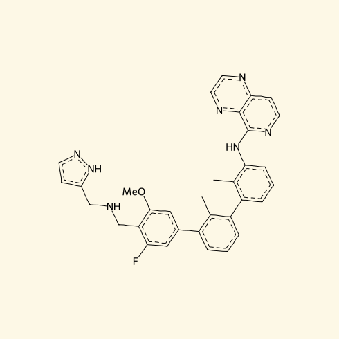 COc1cc(-c2cccc(-c3cccc(Nc4nccc5nccnc45)c3C)c2C)cc(F)c1CNCc1ccn[nH]1